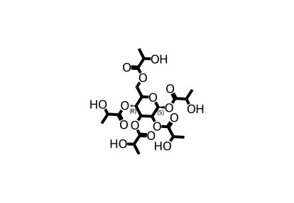 CC(O)C(=O)OCC1O[C@@H](OC(=O)C(C)O)C(OC(=O)C(C)O)C(OC(=O)C(C)O)[C@@H]1OC(=O)C(C)O